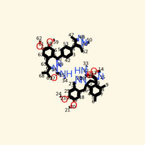 CCC1(c2cc(C)cc(C)c2-c2cocn2)Cc2cc(OC)c(OC)cc2C=NN1C(=O)NC.CNC(=O)N1N=C(c2ccc(-c3c(C)nn(C)c3C)cc2)c2cc(OC)c(OC)cc2CC1C(C)C